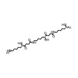 CCNCCCCCN(O)C(=O)CCC(=O)NCCCCCN(O)C(=O)CCC(=O)NCCCCCN(O)C(C)=O